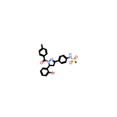 Cc1ccc(C(=O)N2N=C(c3ccc(NS(C)(=O)=O)cc3)CC2c2ccccc2Br)cc1